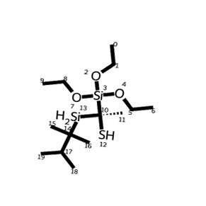 CCO[Si](OCC)(OCC)[C@@](C)(S)[SiH2]C(C)(C)C(C)C